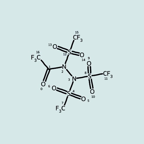 O=C(N(N(S(=O)(=O)C(F)(F)F)S(=O)(=O)C(F)(F)F)S(=O)(=O)C(F)(F)F)C(F)(F)F